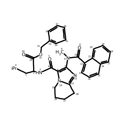 CC(C)CC(NC(=O)c1c(N(C)C(=O)c2cccc3ccccc23)nc2n1CCCC2)C(=O)OCc1ccccc1